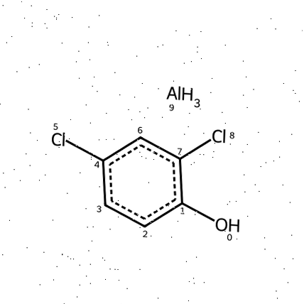 Oc1ccc(Cl)cc1Cl.[AlH3]